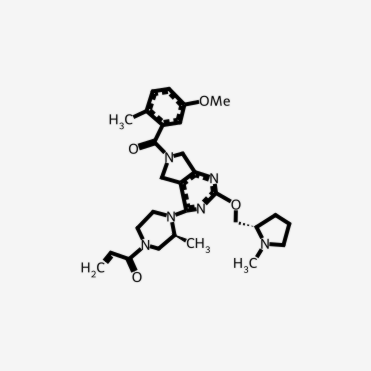 C=CC(=O)N1CCN(c2nc(OC[C@@H]3CCCN3C)nc3c2CN(C(=O)c2cc(OC)ccc2C)C3)[C@@H](C)C1